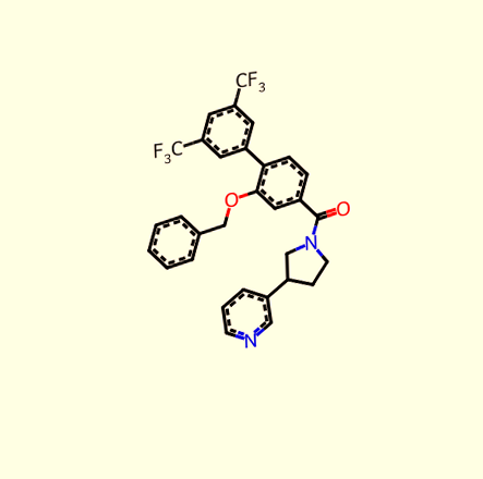 O=C(c1ccc(-c2cc(C(F)(F)F)cc(C(F)(F)F)c2)c(OCc2ccccc2)c1)N1CCC(c2cccnc2)C1